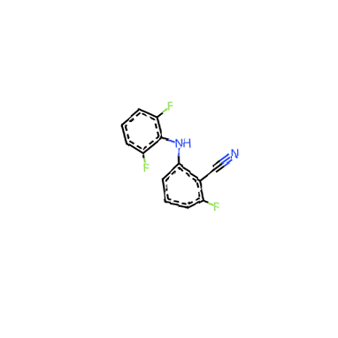 N#Cc1c(F)cccc1Nc1c(F)cccc1F